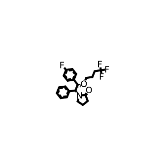 O=C1CCCN1C(c1ccccc1)[C@@H](OCCCC(F)(F)F)c1ccc(F)cc1